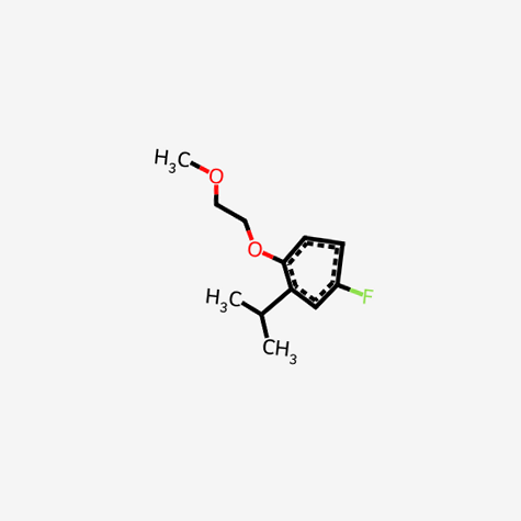 COCCOc1ccc(F)cc1C(C)C